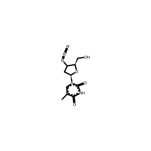 [N-]=[N+]=NC1C[C@H](n2cc(I)c(=O)[nH]c2=O)O[C@@H]1CO